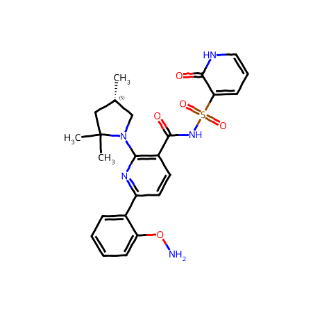 C[C@@H]1CN(c2nc(-c3ccccc3ON)ccc2C(=O)NS(=O)(=O)c2ccc[nH]c2=O)C(C)(C)C1